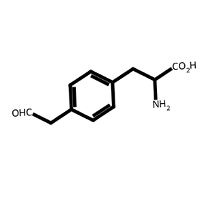 NC(Cc1ccc(CC=O)cc1)C(=O)O